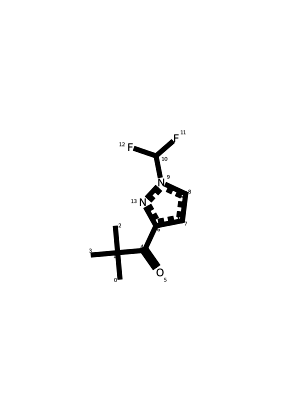 CC(C)(C)C(=O)c1ccn(C(F)F)n1